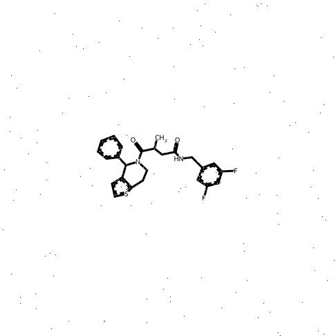 CC(CC(=O)NCc1cc(F)cc(F)c1)C(=O)N1CCc2sccc2C1c1ccccc1